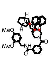 COc1ccc(CNC(=O)c2cccc(C(=O)N3CCC(CCN4[C@@H]5CC[C@H]4C[C@@H](n4c(C)nc6ccccc64)C5)(c4ccccc4)CC3)c2)c(OC)c1